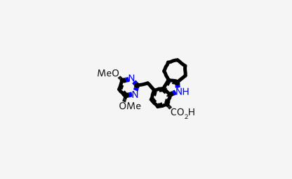 COc1cc(OC)nc(Cc2ccc(C(=O)O)c3[nH]c4c(c23)CCCCC4)n1